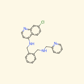 Clc1ccc2c(NCc3ccccc3CNCc3ccccn3)ccnc2c1